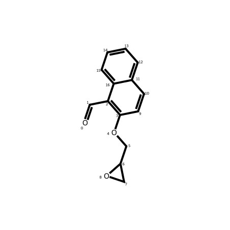 O=Cc1c(OCC2CO2)ccc2ccccc12